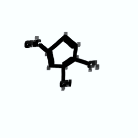 O=Cc1ccc(C(F)(F)F)c(O)c1